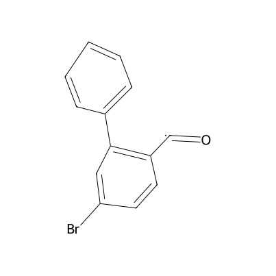 O=[C]c1ccc(Br)cc1-c1ccccc1